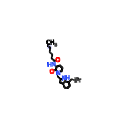 C/C=C/CCCC(=O)Nc1cccn(Cc2cc3cccc(CC(C)C)c3[nH]2)c1=O